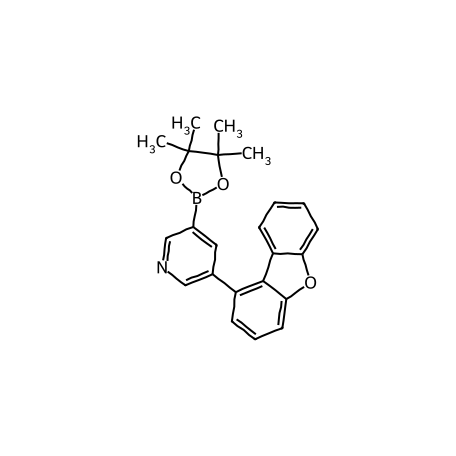 CC1(C)OB(c2cncc(-c3cccc4oc5ccccc5c34)c2)OC1(C)C